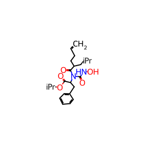 C=CCCC(CC(C)C)C(=O)N(C(=O)NO)C(Cc1ccccc1)C(=O)OC(C)C